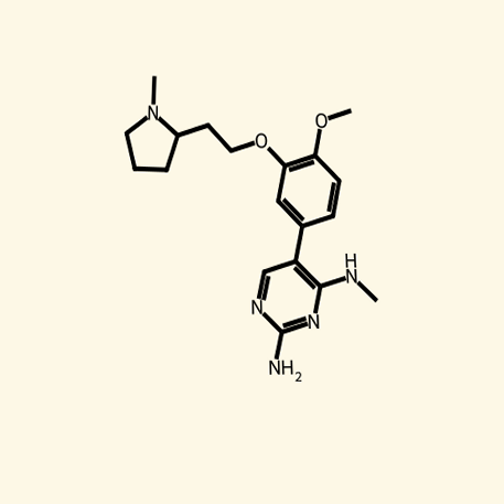 CNc1nc(N)ncc1-c1ccc(OC)c(OCCC2CCCN2C)c1